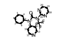 O=C(N(c1ccccc1)c1ccncc1)N(c1ncccn1)C(F)(F)F